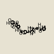 Cc1cccc(C(=O)NC2CC(n3cnc4c(NCC5CCN(C(=O)CNc6ccc7c(c6)C(=O)N([C@H]6CCC(=O)NC6=O)C7=O)CC5)ncnc43)C2)n1